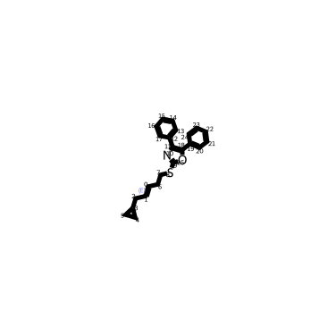 C(=C\CC1CC1)/CCSc1nc(-c2ccccc2)c(-c2ccccc2)o1